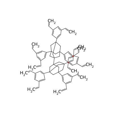 C=Cc1cc(C=C)cc(C23CC4(c5cc(C=C)cc(C=C)c5)CC(c5cc(C=C)cc(C=C)c5)(C2)CC(C25CC6(c7cc(C=C)cc(C=C)c7)CC(c7cc(C=C)cc(C=C)c7)(CC(c7cc(C=C)cc(C=C)c7)(C6)C2)C5)(C3)C4)c1